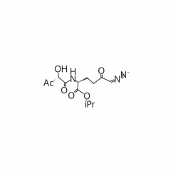 CC(=O)[C@H](O)C(=O)N[C@@H](CCC(=O)C=[N+]=[N-])C(=O)OC(C)C